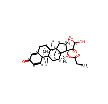 CCC(=O)O[C@]1(C(=O)C(O)O)C(C)C[C@H]2[C@@H]3CCC4=CC(=O)C=C[C@]4(C)[C@H]3CC[C@@]21C